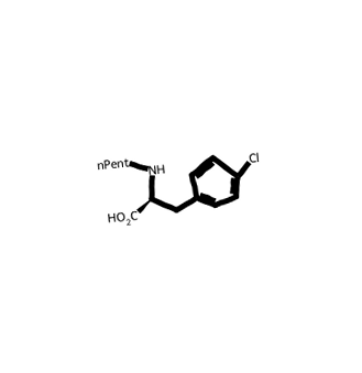 CCCCCN[C@@H](Cc1ccc(Cl)cc1)C(=O)O